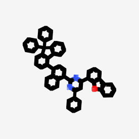 c1ccc(-c2cc(-c3cccc4c3oc3ccccc34)nc(-c3ccc(-c4cccc5c4-c4ccccc4C5(c4ccccc4)c4ccccc4)c4ccccc34)n2)cc1